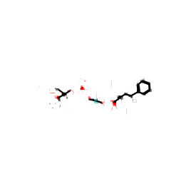 COC(=O)C(C)(COC(C)=O)COC(=O)OCC(F)(F)COC(=O)C(C)(C)CC(Br)c1ccccc1